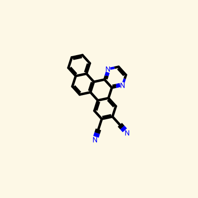 N#Cc1cc2c(cc1C#N)c1nccnc1c1c3ccccc3ccc21